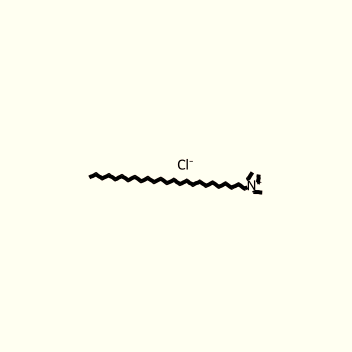 CCCCCCCCCCCCCCCCCCCCCCCCC[N+](CC)(CC)CC.[Cl-]